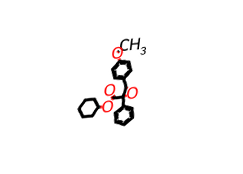 COc1ccc(C2OC2(C(=O)OC2CCCCC2)c2ccccc2)cc1